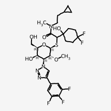 CO[C@@H]1[C@@H](n2cc(-c3cc(F)c(F)c(F)c3)nn2)[C@@H](O)[C@@H](CO)O[C@H]1SC(C(=O)N(C)CCC1CC1)C1(O)CCC(F)(F)CC1